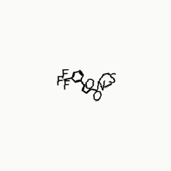 O=C(c1ccc(-c2cccc(C(F)(F)F)c2)o1)N1CCCSCC1